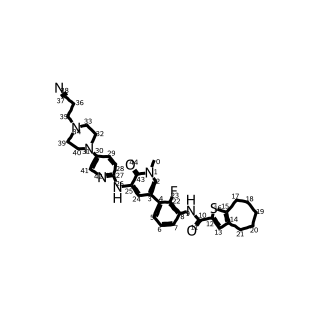 Cn1cc(-c2cccc(NC(=O)c3cc4c(s3)CCCCC4)c2F)cc(Nc2ccc(N3CCN(CCC#N)CC3)cn2)c1=O